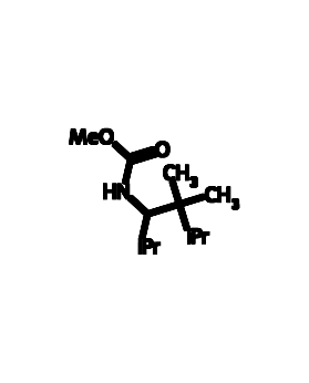 COC(=O)NC(C(C)C)C(C)(C)C(C)C